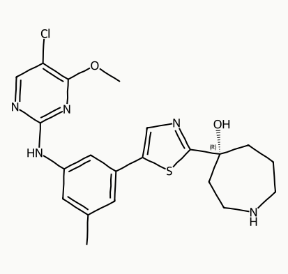 COc1nc(Nc2cc(C)cc(-c3cnc([C@@]4(O)CCCNCC4)s3)c2)ncc1Cl